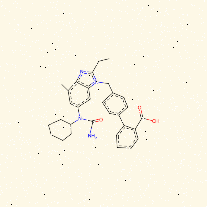 CCc1nc2c(C)cc(N(C(N)=O)C3CCCCC3)cc2n1Cc1ccc(-c2ccccc2C(=O)O)cc1